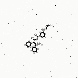 NN=CNc1cccc(C(=O)OC(=O)C(=C(N)c2ccccc2)c2ccccc2)c1